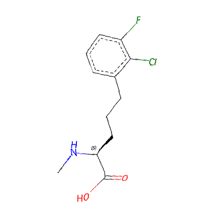 CN[C@@H](CCCc1cccc(F)c1Cl)C(=O)O